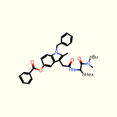 CCCCCCC(NC(=O)Cc1c(C)n(Cc2ccccc2)c2ccc(OC(=O)c3ccccc3)cc12)C(=O)N(C)CCCC